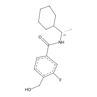 C[C@H](NC(=O)c1ccc(CO)c(F)c1)C1CCCCC1